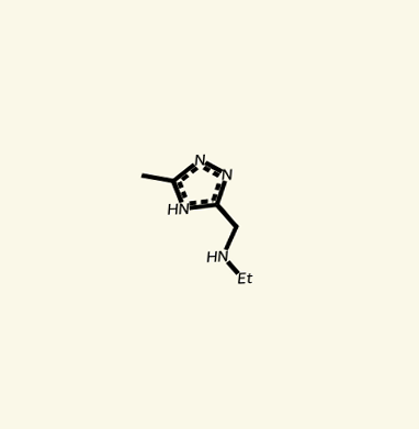 CCNCc1nnc(C)[nH]1